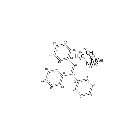 C(=C(c1ccccc1)c1ccccc1)c1ccccc1.CNC.CNC